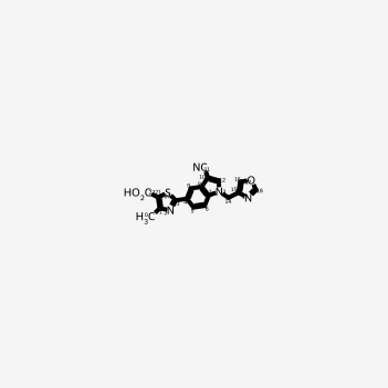 Cc1nc(-c2ccc3c(c2)c(C#N)cn3Cc2cocn2)sc1C(=O)O